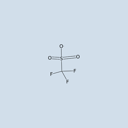 [O]S(=O)(=O)C(F)(F)F